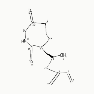 C=CC(=C)CC(O)[C@@H]1CCC(=O)CNC1=O